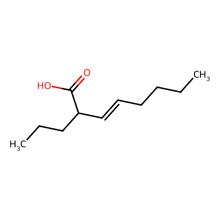 CCCCC=CC(CCC)C(=O)O